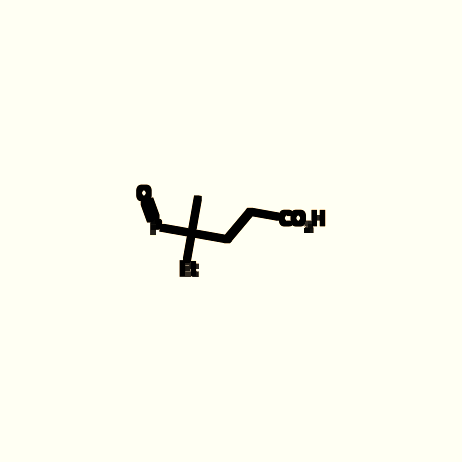 CCC(C)(CCC(=O)O)P=O